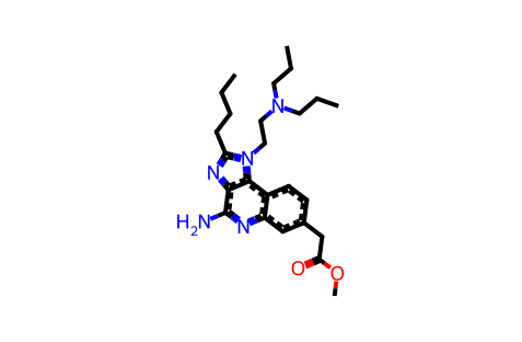 CCCCc1nc2c(N)nc3cc(CC(=O)OC)ccc3c2n1CCN(CCC)CCC